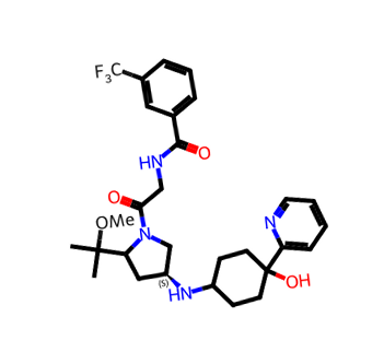 COC(C)(C)C1C[C@H](NC2CCC(O)(c3ccccn3)CC2)CN1C(=O)CNC(=O)c1cccc(C(F)(F)F)c1